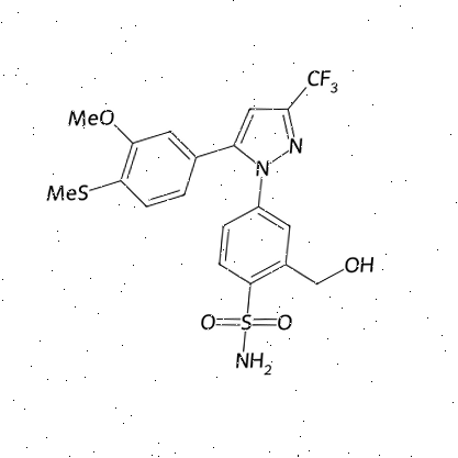 COc1cc(-c2cc(C(F)(F)F)nn2-c2ccc(S(N)(=O)=O)c(CO)c2)ccc1SC